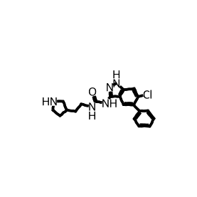 O=C(NCCC1CCNC1)Nc1n[nH]c2cc(Cl)c(-c3ccccc3)cc12